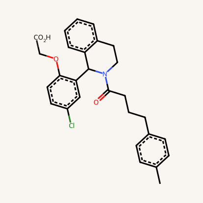 Cc1ccc(CCCC(=O)N2CCc3ccccc3C2c2cc(Cl)ccc2OCC(=O)O)cc1